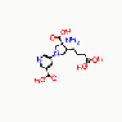 N[C@@]1(C(=O)O)CN(c2cncc(C(=O)O)c2)C[C@@H]1CCCB(O)O